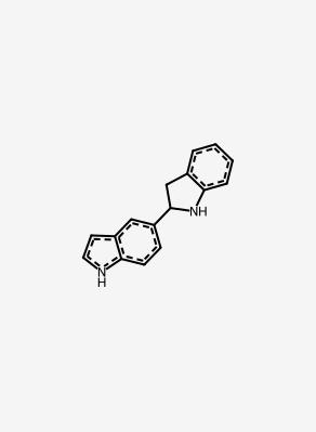 c1ccc2c(c1)CC(c1ccc3[nH]ccc3c1)N2